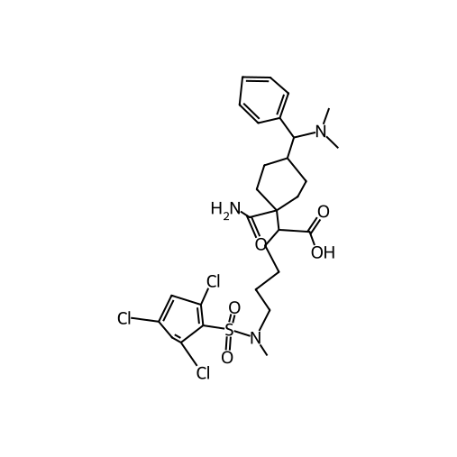 CN(C)C(c1ccccc1)C1CCC(C(N)=O)(C(CCCCN(C)S(=O)(=O)c2c(Cl)cc(Cl)cc2Cl)C(=O)O)CC1